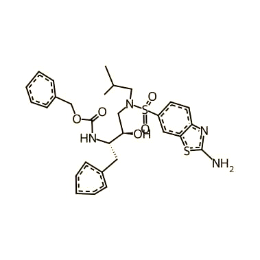 CC(C)CN(C[C@@H](O)[C@H](Cc1ccccc1)NC(=O)OCc1ccccc1)S(=O)(=O)c1ccc2nc(N)sc2c1